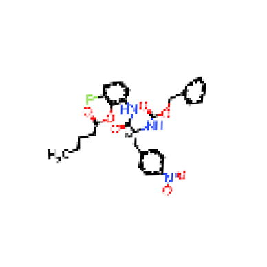 CCCCC(=O)Oc1c(F)cccc1NC(=O)[C@H](Cc1ccc([N+](=O)[O-])cc1)NC(=O)OCc1ccccc1